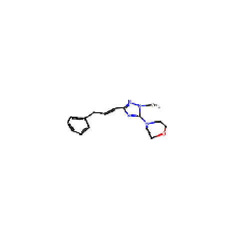 Cn1nc(C=CCc2ccccc2)nc1N1CCOCC1